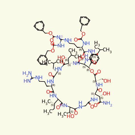 CC[C@H](C)C1NC(=O)[C@@H](CCCNC(=N)N)NC(=O)[C@H](CC(C)C)NC(=O)[C@H]([C@H](O)C(C)C)NC(=O)[C@@H](NC(=O)[C@H](CC(C)C)NC(=O)[C@@H](CCCN/C(=N/C(=O)OCc2ccccc2)NC(=O)OCc2ccccc2)NC(=O)OCc2ccccc2)[C@@H](c2ccccc2)OC(=O)[C@H](CO)NC(=O)[C@H]([C@H](O)C(N)=O)NC(=O)CNC(=O)C([C@H](C)O)NC1=O